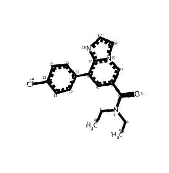 CCN(CC)C(=O)c1cc(-c2ccc(Cl)cc2)c2nccn2c1